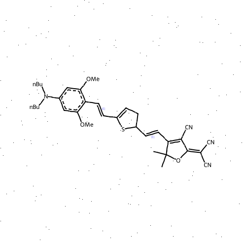 CCCCN(CCCC)c1cc(OC)c(/C=C/C2=CCC(/C=C/C3=C(C#N)C(=C(C#N)C#N)OC3(C)C)S2)c(OC)c1